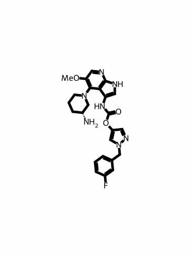 COc1cnc2[nH]cc(NC(=O)Oc3cnn(Cc4cccc(F)c4)c3)c2c1N1CCC[C@@H](N)C1